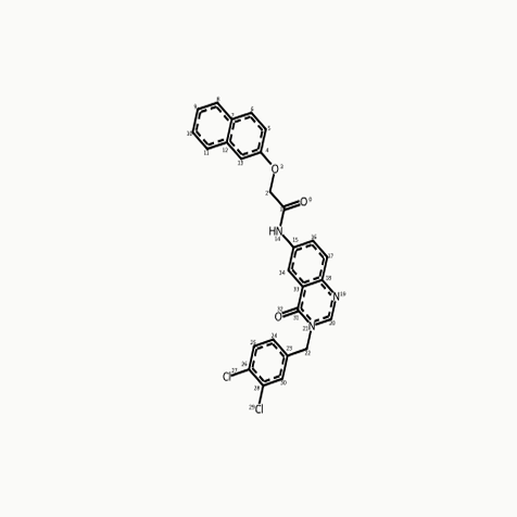 O=C(COc1ccc2ccccc2c1)Nc1ccc2ncn(Cc3ccc(Cl)c(Cl)c3)c(=O)c2c1